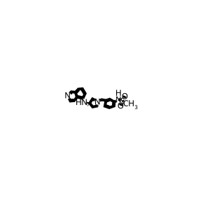 CS(=O)(=O)Nc1cccc(CN2CC[C@@H](Nc3cccc4cnccc34)C2)c1